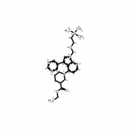 CCOC(=O)C1CCCN(c2ccnc3c2c(-c2cncnc2)cn3COCC[Si](C)(C)C)C1